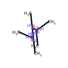 CCCCCCCCCCCCNC(=O)CN(CCCCNCCCN(CC(=O)NCCCCCCCCCCCC)CC(=O)NCCCCCCCCCCCC)CCCN(CC(=O)NCCCCCCCCCCCC)CC(=O)NCCCCCCCCCCCC